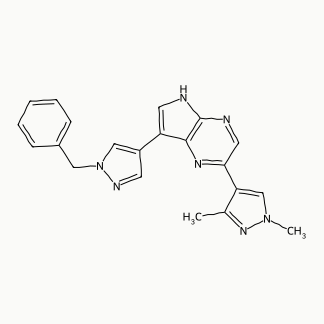 Cc1nn(C)cc1-c1cnc2[nH]cc(-c3cnn(Cc4ccccc4)c3)c2n1